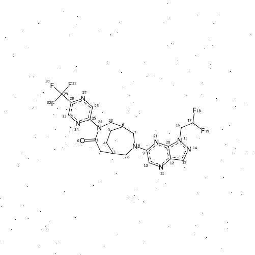 O=C1CC2CCC(CN(c3cnc4cnn(CC(F)F)c4n3)C2)CN1c1cnc(C(F)(F)F)cn1